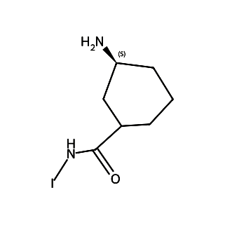 N[C@H]1CCCC(C(=O)NI)C1